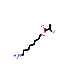 C=C(C(=O)OCCCCCCCCN)C(C)C